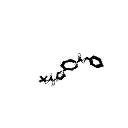 CC(C)(C)OC(=O)N[C@@H]1CCN(C2CCCN(C(=O)OCc3ccccc3)CC2)C1